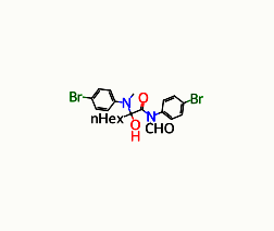 CCCCCCC(O)(C(=O)N(C=O)c1ccc(Br)cc1)N(C)c1ccc(Br)cc1